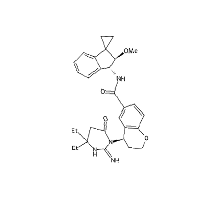 CCC1(CC)CC(=O)N([C@@H]2CCOc3ccc(C(=O)N[C@@H]4c5ccccc5C5(CC5)[C@H]4OC)cc32)C(=N)N1